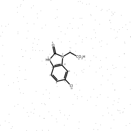 O=C(O)Cn1c(=O)[nH]c2ccc(Cl)cc21